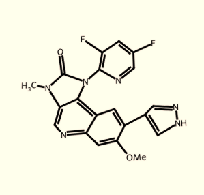 COc1cc2ncc3c(c2cc1-c1cn[nH]c1)n(-c1ncc(F)cc1F)c(=O)n3C